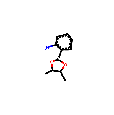 CC1OB(c2ccccc2N)OC1C